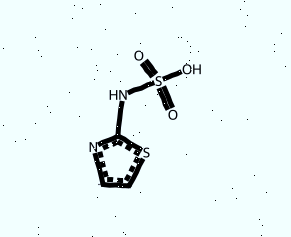 O=S(=O)(O)Nc1n[c]cs1